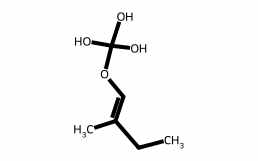 CCC(C)=COC(O)(O)O